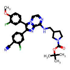 COc1ccc(-c2c(-c3ccc(C#N)c(F)c3)nc3c(NCC4CCN(C(=O)OC(C)(C)C)C4)nccn23)cc1F